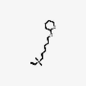 C=C[Si](C)(C)CCCCCCOC1CCCCO1